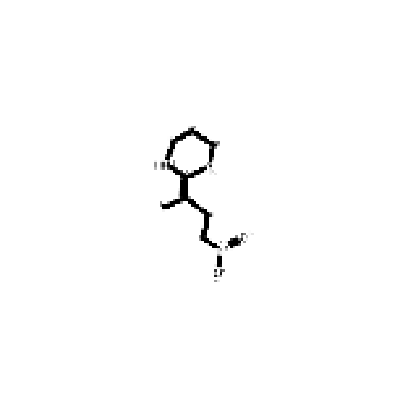 CC(CC[N+](=O)[O-])=C1NCCCS1